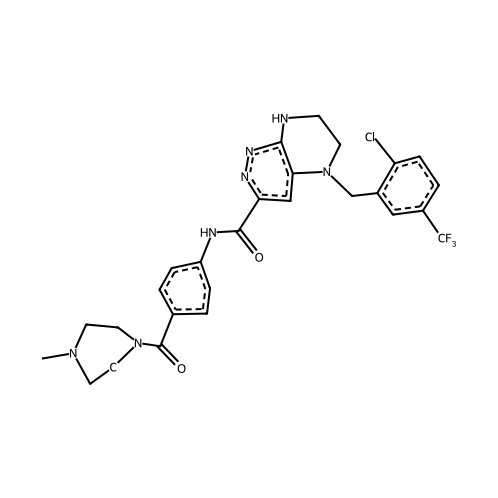 CN1CCN(C(=O)c2ccc(NC(=O)c3cc4c(nn3)NCCN4Cc3cc(C(F)(F)F)ccc3Cl)cc2)CC1